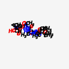 CC(=O)N[C@@H](CCCNC(=N)NS(=O)(=O)c1c(C)c(C)c2c(c1C)CC(C)(C)O2)C(=O)NCCN(C)C(=O)Oc1ccc2c3c1O[C@H]1C(=O)CC[C@@]4(O)C(C2)[N@+](C)(CC2CC2)CC[C@]314